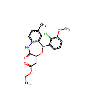 CCOC(=O)C[C@H]1O[C@H](c2cccc(OC)c2Cl)c2cc(C)ccc2NC1=O